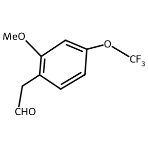 COc1cc(OC(F)(F)F)ccc1CC=O